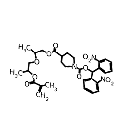 C=C(C)C(=O)OC(C)COC(C)COC(=O)C1CCN(C(=O)OC(c2ccccc2[N+](=O)[O-])c2ccccc2[N+](=O)[O-])CC1